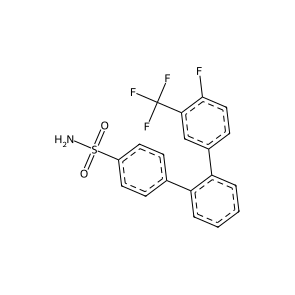 NS(=O)(=O)c1ccc(-c2ccccc2-c2ccc(F)c(C(F)(F)F)c2)cc1